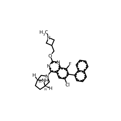 CN1CC(COc2nc(N3C[C@H]4CC[C@@H](C3)N4)c3cc(Cl)c(-c4cccc5ccccc45)c(F)c3n2)C1